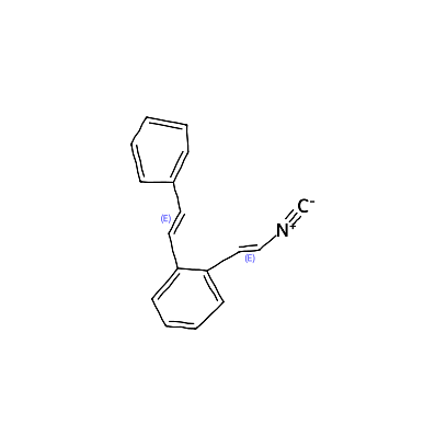 [C-]#[N+]/C=C/c1ccccc1/C=C/c1ccccc1